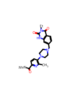 CCn1c(=O)[nH]c2cc(CN3CCN(c4ccc(C(=O)NC)nc4C)CC3)ccc2c1=O